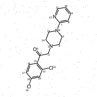 O=C(CN1CCN(c2ccccn2)CC1)c1ccc(Cl)cc1Cl